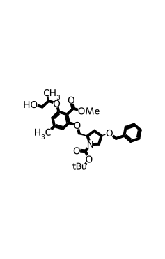 COC(=O)c1c(OC[C@H]2C[C@H](OCc3ccccc3)CN2C(=O)OC(C)(C)C)cc(C)cc1O[C@H](C)CO